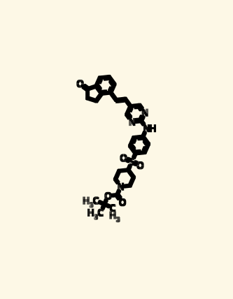 CC(C)(C)OC(=O)N1CCC(S(=O)(=O)c2ccc(Nc3ncc(C=Cc4cccc5c4CCC5=O)cn3)cc2)CC1